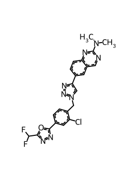 CN(C)c1ncc2cc(-c3cn(Cc4ccc(-c5nnc(C(F)F)o5)cc4Cl)nn3)ccc2n1